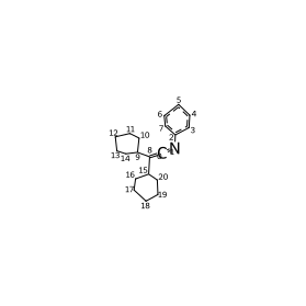 C(=Nc1ccccc1)=C(C1CCCCC1)C1CCCCC1